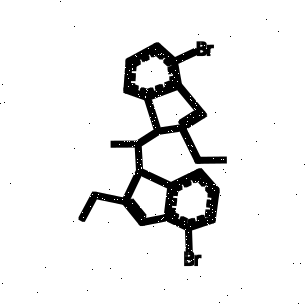 CCC1=Cc2c(Br)cccc2C1C(C)C1C(CC)=Cc2c(Br)cccc21